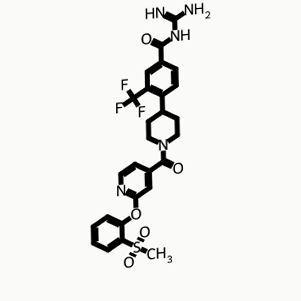 CS(=O)(=O)c1ccccc1Oc1cc(C(=O)N2CCC(c3ccc(C(=O)NC(=N)N)cc3C(F)(F)F)CC2)ccn1